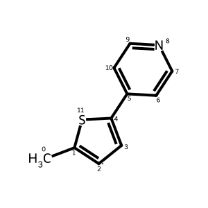 Cc1[c]cc(-c2ccncc2)s1